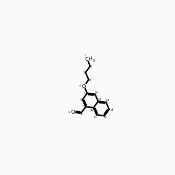 CCCCOc1cc([C]=O)c2ccccc2c1